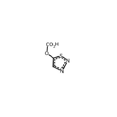 O=C(O)Oc1cnns1